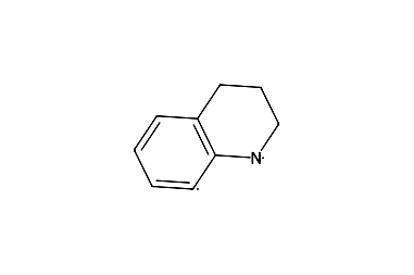 [c]1cccc2c1[N]CCC2